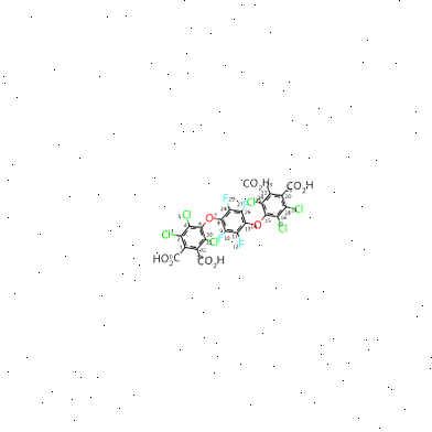 O=C(O)c1c(Cl)c(Cl)c(Oc2c(F)c(F)c(Oc3c(Cl)c(Cl)c(C(=O)O)c(C(=O)O)c3Cl)c(F)c2F)c(Cl)c1C(=O)O